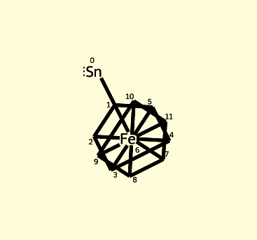 [Sn][C]12[CH]3[CH]4[CH]5[CH]1[Fe]45321678[CH]2[CH]1[CH]6[CH]7[CH]28